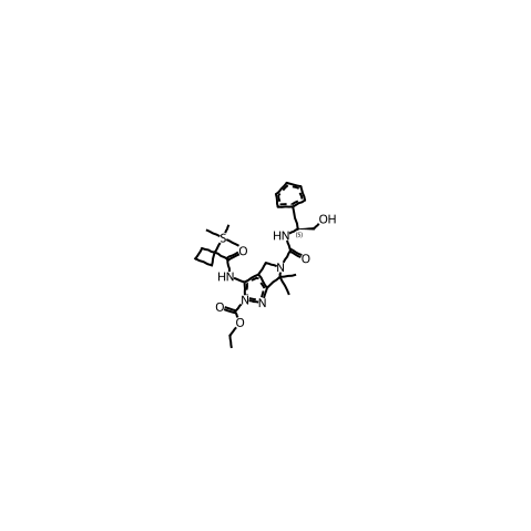 CCOC(=O)n1nc2c(c1NC(=O)C1(S(C)(C)C)CCC1)CN(C(=O)N[C@H](CO)c1ccccc1)C2(C)C